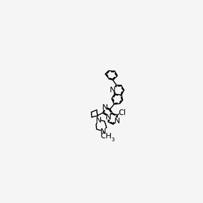 CN1CCN(C2(c3nc(-c4ccc5ccc(-c6ccccc6)nc5c4)c4c(Cl)nccn34)CCC2)CC1